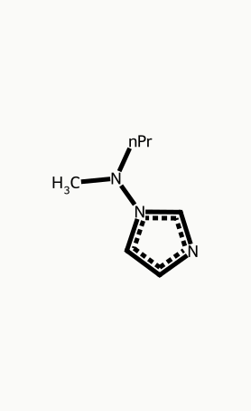 CCCN(C)n1ccnc1